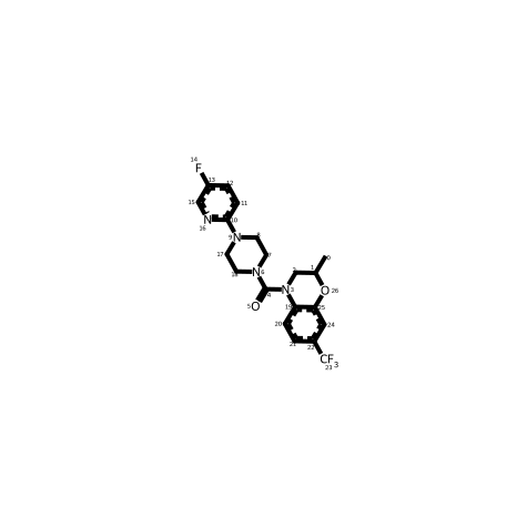 CC1CN(C(=O)N2CCN(c3ccc(F)cn3)CC2)c2ccc(C(F)(F)F)cc2O1